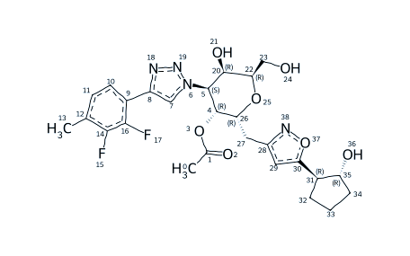 CC(=O)O[C@@H]1[C@@H](n2cc(-c3ccc(C)c(F)c3F)nn2)[C@@H](O)[C@@H](CO)O[C@@H]1Cc1cc([C@@H]2CCC[C@H]2O)on1